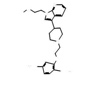 CCOCCn1cc(C2CCN(CCOc3cc(OC)ccc3C(=O)O)CC2)c2cccnc21